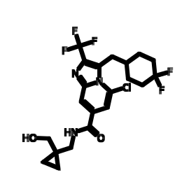 O=C(NCC1(CO)CC1)c1cc(Cl)n2c(CC3CCC(F)(F)CC3)c(C(F)(F)F)nc2c1